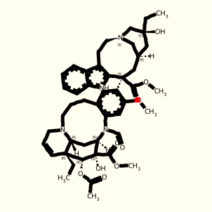 CC[C@]1(O)C[C@@H]2C[N@@](CCc3c([nH]c4ccccc34)[C@@](C(=O)OC)(c3cc4c(cc3OC)N(C=O)[C@@H]3C[C@H]5N(CC=C[C@@]5(CC)[C@@H](OC(C)=O)[C@]3(O)C(=O)OC)CCC4)C2)C1